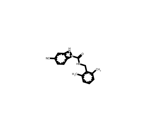 Cc1cccc(C)c1CNC(=O)n1[nH]c2cc(C#N)ccc21